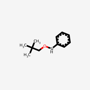 CC(C)(C)CO[SiH]c1ccccc1